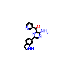 Nc1ncc(-c2ccc3c(c2)NCC3)nc1C(=O)c1cccnc1